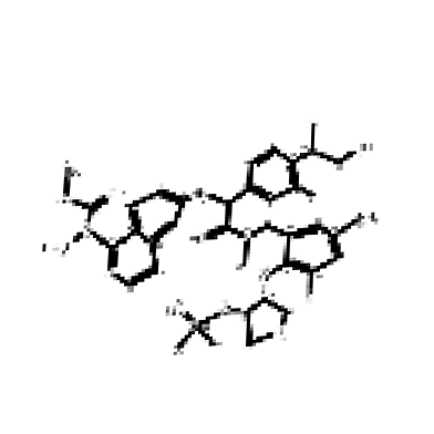 Cc1cc(C(Nc2ccc3c(N(C(=O)O)C(=O)OC(C)(C)C)nccc3c2)C(=O)N(C)Cc2cc(N)cc(F)c2O[C@@H]2COC[C@H]2O[Si](C)(C)C(C)(C)C)ccc1[C@@H](C)CO